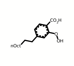 CCCCCCCCCCc1ccc(C(=O)O)c(OO)c1